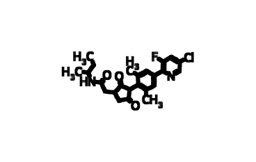 CCC(C)NC(=O)CC1CC(=O)C(c2c(C)cc(-c3ncc(Cl)cc3F)cc2C)C1=O